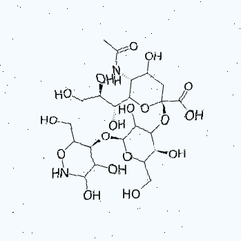 CC(=O)N[C@@H]1C(O)C[C@](OC2C(O)[C@H](O[C@@H]3C(CO)ONC(O)C3O)OC(CO)[C@@H]2O)(C(=O)O)OC1[C@H](O)[C@H](O)CO